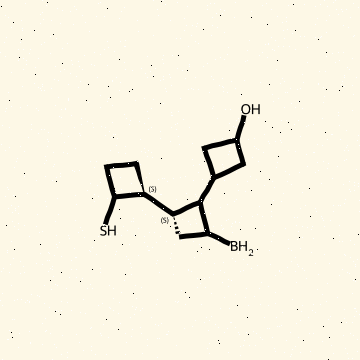 BC1C[C@H]([C@@H]2CCC2S)C1C1CC(O)C1